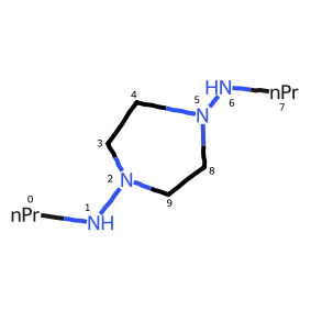 CCCNN1CCN(NCCC)CC1